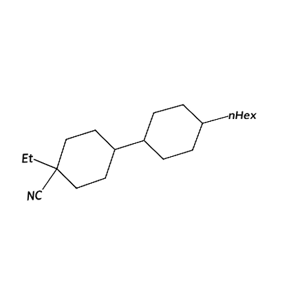 CCCCCCC1CCC(C2CCC(C#N)(CC)CC2)CC1